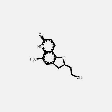 Cc1cc2c(c3ccc(=O)[nH]c13)OC(CCO)C2